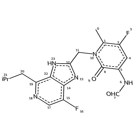 Cc1c(F)cc(NC=O)c(=O)n1Cc1nc2c(F)cnc(CC(C)C)c2[nH]1